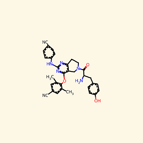 Cc1cc(C#N)cc(C)c1Oc1nc(Nc2ccc(C#N)cc2)nc2c1CN(C(=O)C(N)Cc1ccc(O)cc1)CC2